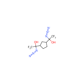 [N-]=[N+]=NC(O)(C1CCC(C(O)(N=[N+]=[N-])C(F)(F)F)C1)C(F)(F)F